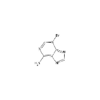 Nc1ncn(Br)c2ncnc1-2